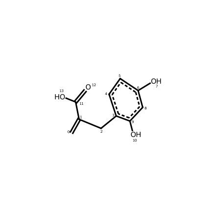 C=C(Cc1ccc(O)cc1O)C(=O)O